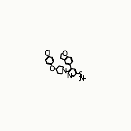 CN(C)Sc1cnc(N2CCC(Oc3ccc(Cl)cc3)CC2)c(-c2ccc3c(c2)CCO3)c1